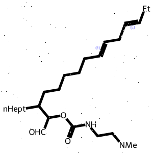 CC/C=C/C/C=C/CCCCCC(CCCCCCC)C(C=O)OC(=O)NCCNC